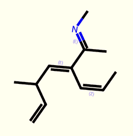 C=CC(C)/C=C(\C=C/C)C(/C)=N/C